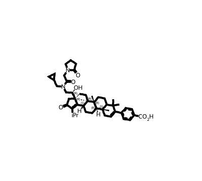 CC(C)C1=C2[C@H]3CC[C@@H]4[C@@]5(C)CC=C(c6ccc(C(=O)O)cc6)C(C)(C)C5CC[C@@]4(C)[C@]3(C)CC[C@@]2([C@@H](O)CN(CC2CC2)C(=O)CN2CCCC2=O)CC1=O